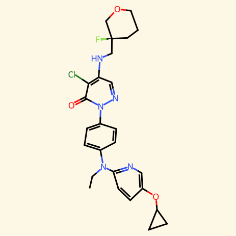 CCN(c1ccc(-n2ncc(NC[C@@]3(F)CCCOC3)c(Cl)c2=O)cc1)c1ccc(OC2CC2)cn1